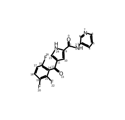 O=C(Nc1cccnc1)c1cc(C(=O)c2c(F)ccc(F)c2F)c[nH]1